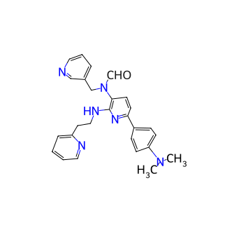 CN(C)c1ccc(-c2ccc(N(C=O)Cc3cccnc3)c(NCCc3ccccn3)n2)cc1